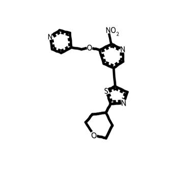 O=[N+]([O-])c1ncc(-c2cnc(C3CCOCC3)s2)cc1OCc1ccncc1